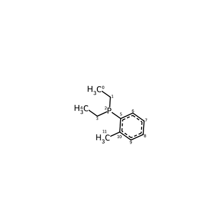 CCP(CC)c1ccccc1C